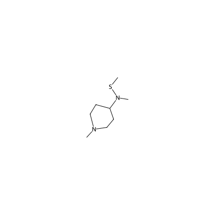 CSN(C)C1CCN(C)CC1